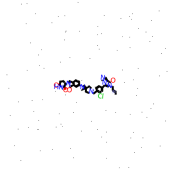 C/C=C/Cn1cc(-c2ccc(CN3CCC4(CC3)CN(c3ccc5c(c3)C(=O)N(C3CCC(=O)NC3=O)C5)C4)c(Cl)c2)n2cncc2c1=O